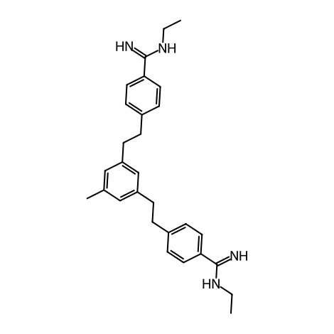 CCNC(=N)c1ccc(CCc2cc(C)cc(CCc3ccc(C(=N)NCC)cc3)c2)cc1